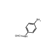 Bc1ccc(NC=O)cc1